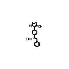 N#Cc1nn[nH]c1-c1ccc(C(C=O)=Cc2ccccc2)cc1